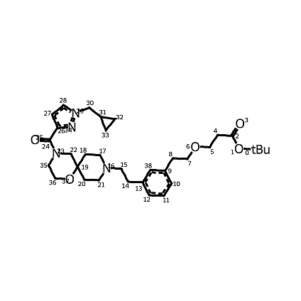 CC(C)(C)OC(=O)CCOCCc1cccc(CCN2CCC3(CC2)CN(C(=O)c2ccn(CC4CC4)n2)CCO3)c1